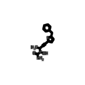 CC(C#Cc1ccc(Cc2ccccc2)s1)N(O)C(N)=O